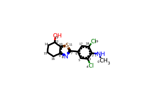 CNc1c(Cl)cc(-c2nc3c(s2)C(O)CCC3)cc1Cl